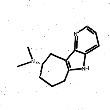 CN(C)[C@H]1CCCc2[nH]c3cccnc3c2C1